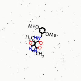 COc1ccc(OC)c(CNC(=O)c2c(C)oc3ncn(C)c(=O)c23)c1